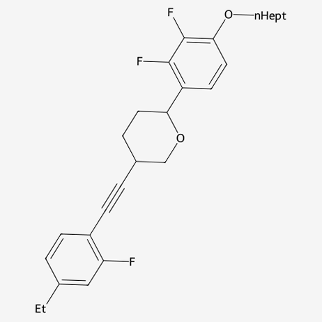 CCCCCCCOc1ccc(C2CCC(C#Cc3ccc(CC)cc3F)CO2)c(F)c1F